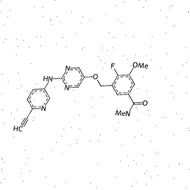 C#Cc1ccc(Nc2ncc(OCc3cc(C(=O)NC)cc(OC)c3F)cn2)cn1